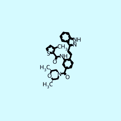 Cc1ccsc1C(=O)Nc1cc(C(=O)N2C[C@@H](C)O[C@@H](C)C2)ccc1/C=C/c1n[nH]c2ccccc12